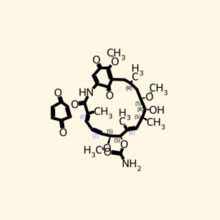 COC1=C2C[C@@H](C)C[C@H](OC)[C@H](O)[C@@H](C)/C=C(\C)[C@H](OC(N)=O)[C@@H](OC)/C=C\C=C(/C)C(=O)NC(=CC1=O)C2=O.O=C1C=CC(=O)C=C1